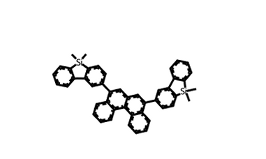 C[Si]1(C)c2ccccc2-c2cc(-c3cc4cc(-c5ccc6c(c5)-c5ccccc5[Si]6(C)C)c5ccccc5c4c4ccccc34)ccc21